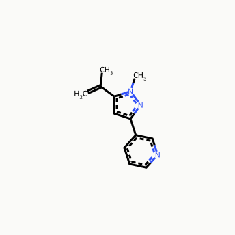 C=C(C)c1cc(-c2cccnc2)nn1C